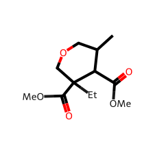 CCC1(C(=O)OC)COCC(C)C1C(=O)OC